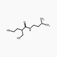 CN(C)CCNC(=O)C(CS)CCS